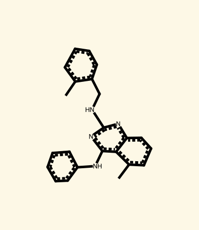 Cc1ccccc1CNc1nc(Nc2ccccc2)c2c(C)cccc2n1